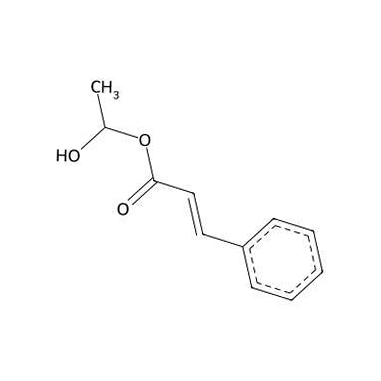 CC(O)OC(=O)C=Cc1ccccc1